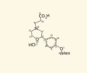 CCCCCCOc1ccc(C2CN(CCC(=O)O)CCO2)cc1.Cl